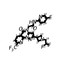 O=C(Cn1c(=O)c2ccc(C(F)(F)F)nc2n2nc(C3CN(CC(F)F)C3)cc12)Nc1ccc(F)cn1